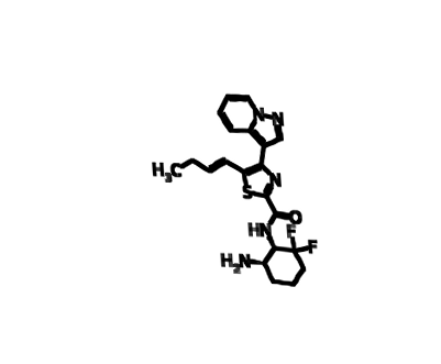 CCC=Cc1sc(C(=O)N[C@@H]2[C@H](N)CCCC2(F)F)nc1-c1cnn2ccccc12